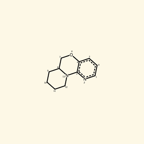 c1cnc2c(c1)OCC1CCCCN21